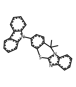 CC1(C)c2ccc(-n3c4ccccc4c4ccccc43)cc2Sc2nc3ccccc3n21